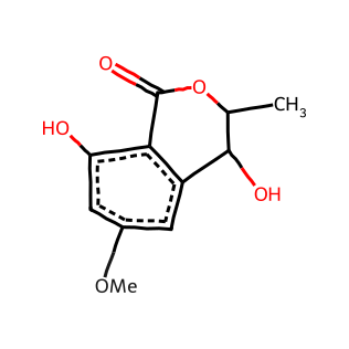 COc1cc(O)c2c(c1)C(O)C(C)OC2=O